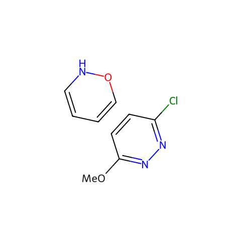 C1=CNOC=C1.COc1ccc(Cl)nn1